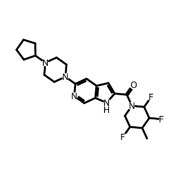 CC1C(F)CN(C(=O)c2cc3cc(N4CCN(C5CCCC5)CC4)ncc3[nH]2)C(F)C1F